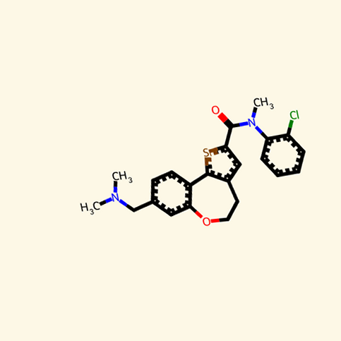 CN(C)Cc1ccc2c(c1)OCCc1cc(C(=O)N(C)c3ccccc3Cl)sc1-2